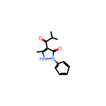 Cc1[nH]n(-c2ccccc2)c(=O)c1C(=O)C(C)C